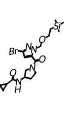 C[Si](C)(C)CCOCn1nc(Br)cc1C(=O)N1CCC(NC(=O)C2CC2)C1